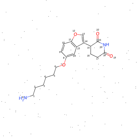 NCCCCCCOc1ccc2occ(C3CCC(=O)NC3=O)c2c1